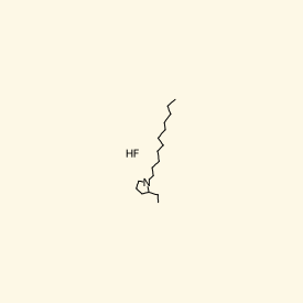 CCCCCCCCCCCN1CCCC1CC.F